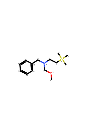 COCN(CCS(C)(C)C)Cc1ccccc1